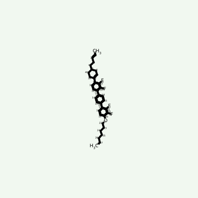 C/C=C/CCC1CC=C(c2ccc(-c3ccc(-c4ccc(OCCCCCCC)c(F)c4F)cc3)c(F)c2F)CC1